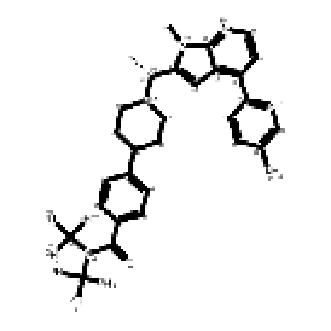 [2H]C([2H])([2H])N(C(=O)c1ccc(C2CCN([C@H](C)c3cc4c(-c5ccc(N)cn5)ccnc4n3C)CC2)cc1)C([2H])([2H])[2H]